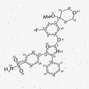 COC1(c2cc(F)cc(Oc3nc(-c4ccccc4)c(-c4ccc(S(N)(=O)=O)cc4)o3)c2)CCOCC1